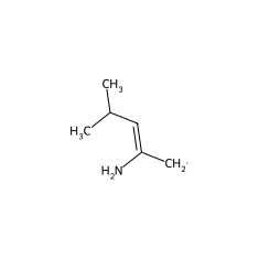 [CH2]C(N)=CC(C)C